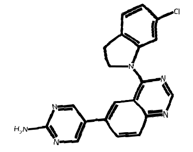 Nc1ncc(-c2ccc3ncnc(N4CCc5ccc(Cl)cc54)c3c2)cn1